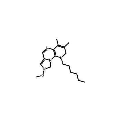 CCCCCCN1CC(C)=C(C)C2=C1N1CN(OC)C=C1C=N2